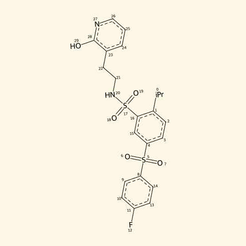 CC(C)c1ccc(S(=O)(=O)c2ccc(F)cc2)cc1S(=O)(=O)NCCc1cccnc1O